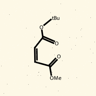 COC(=O)/C=C\C(=O)OC(C)(C)C